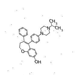 CC(C)N1CCN(c2ccc(C3=C(c4ccccc4)CCOc4cc(O)ccc43)cc2)CC1